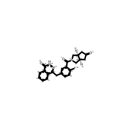 O=C1C[C@@H]2CN(C(=O)c3cc(Cc4n[nH]c(=O)c5ccccc45)ccc3F)C[C@@H]2C1